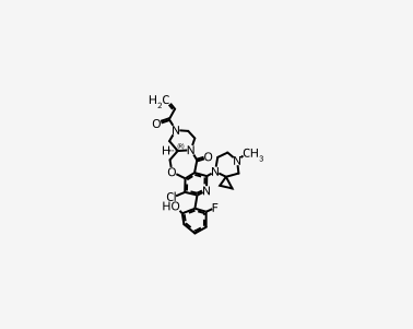 C=CC(=O)N1CCN2C(=O)c3c(N4CCN(C)CC45CC5)nc(-c4c(O)cccc4F)c(Cl)c3OC[C@H]2C1